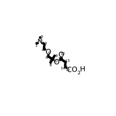 CN(C)CCOCC(C)(C)OC(=O)CCC(=O)O